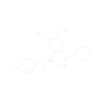 COc1cc2c(cc1OC)N(S(=O)(=O)c1ccc(C)cc1)CN=C2c1ccccc1